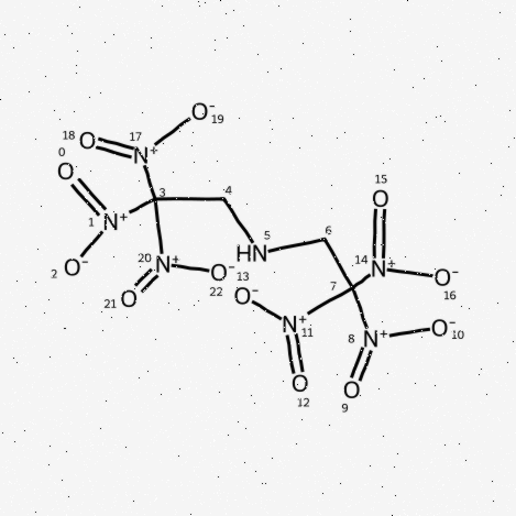 O=[N+]([O-])C(CNCC([N+](=O)[O-])([N+](=O)[O-])[N+](=O)[O-])([N+](=O)[O-])[N+](=O)[O-]